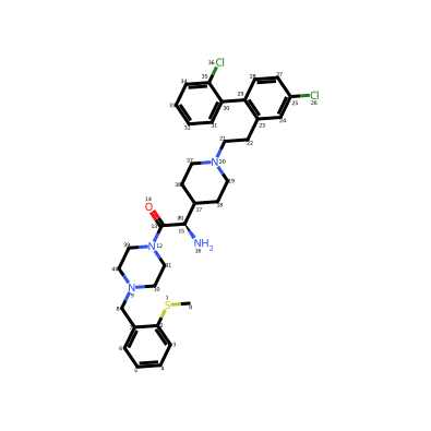 CSc1ccccc1CN1CCN(C(=O)[C@H](N)C2CCN(CCc3cc(Cl)ccc3-c3ccccc3Cl)CC2)CC1